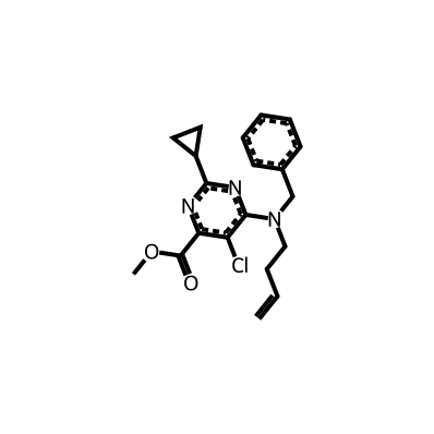 C=CCCN(Cc1ccccc1)c1nc(C2CC2)nc(C(=O)OC)c1Cl